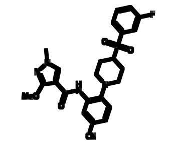 COc1nn(C)cc1C(=O)Nc1cc(C#N)ccc1N1CCC(S(=O)(=O)c2cccc(F)c2)CC1